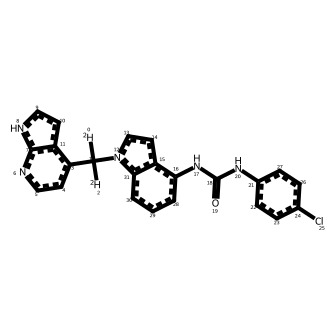 [2H]C([2H])(c1ccnc2[nH]ccc12)n1ccc2c(NC(=O)Nc3ccc(Cl)cc3)cccc21